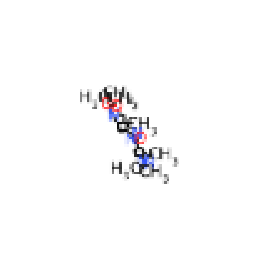 Cc1c(-c2noc(-c3ccc4c(c3)c(C)nn4C(C)C)n2)ccc2c1CCN(CC(=O)OC(C)(C)C)C2